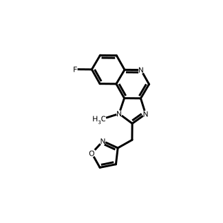 Cn1c(Cc2ccon2)nc2cnc3ccc(F)cc3c21